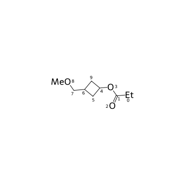 CCC(=O)OC1CC(COC)C1